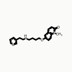 Cn1c(=O)ccc2cc(OCCCCNCCc3cccnc3)ccc21